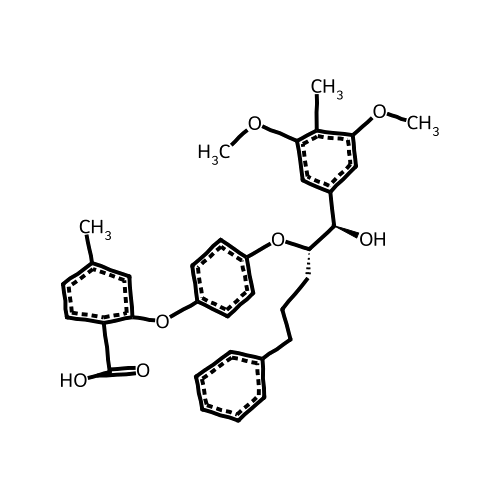 COc1cc([C@@H](O)[C@H](CCCc2ccccc2)Oc2ccc(Oc3cc(C)ccc3C(=O)O)cc2)cc(OC)c1C